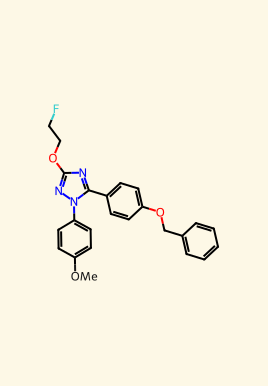 COc1ccc(-n2nc(OCCF)nc2-c2ccc(OCc3ccccc3)cc2)cc1